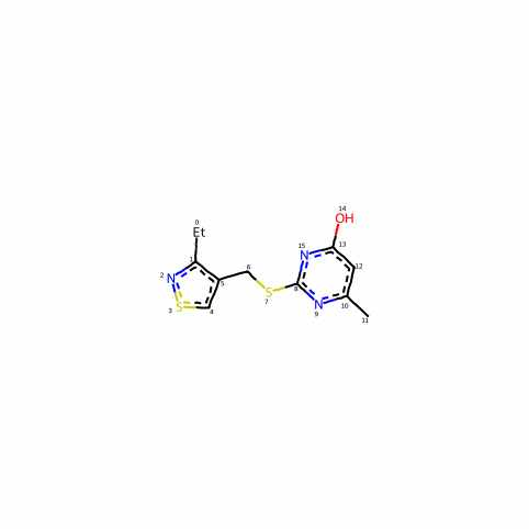 CCc1nscc1CSc1nc(C)cc(O)n1